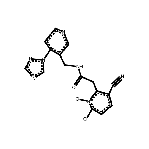 N#Cc1ccc(Cl)[n+]([O-])c1CC(=O)NCc1cnccc1-n1cncn1